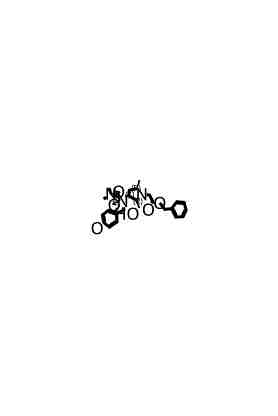 COc1ccc(CN([C@H]2C[C@@H](C)N(CC(=O)OCc3ccccc3)[C@H]2CO)S(=O)(=O)N(C)C)cc1